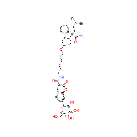 CC(C)N(CCC(C(N)=O)(c1ccc(OCCCCCCNC(=O)c2cc3ccc([C@@H]4O[C@H](CO)[C@H](O)[C@H](O)[C@H]4O)cc3oc2=O)cc1)c1ccccn1)C(C)C